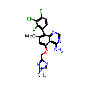 COc1cc(OCc2ncn(C)n2)c2c(N)ncnc2c1-c1ccc(F)c(Cl)c1F